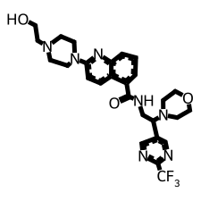 O=C(NCC(c1cnc(C(F)(F)F)nc1)N1CCOCC1)c1cccc2nc(N3CCN(CCO)CC3)ccc12